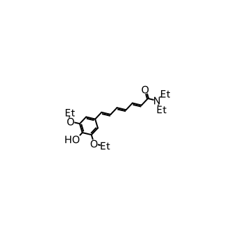 CCOc1cc(/C=C/C=C/C=C/C(=O)N(CC)CC)cc(OCC)c1O